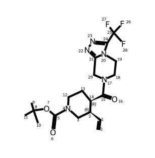 C=C[C@H]1CN(C(=O)OC(C)(C)C)CC[C@H]1C(=O)N1CCn2c(nnc2C(F)(F)F)C1